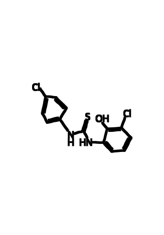 Oc1c(Cl)cccc1NC(=S)Nc1ccc(Cl)cc1